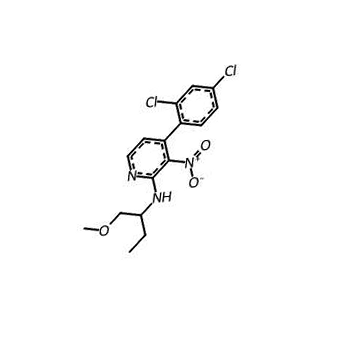 CCC(COC)Nc1nccc(-c2ccc(Cl)cc2Cl)c1[N+](=O)[O-]